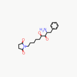 N[C@@H](Cc1ccccc1)C(=O)C(=O)CCCCCN1C(=O)CCC1=O